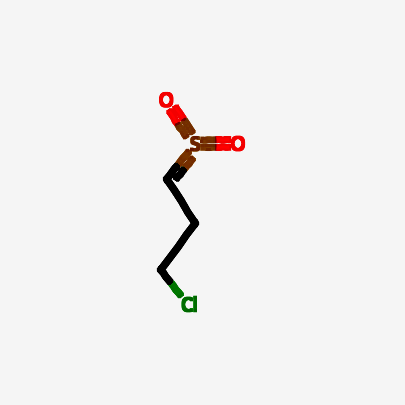 O=S(=O)=CCCCl